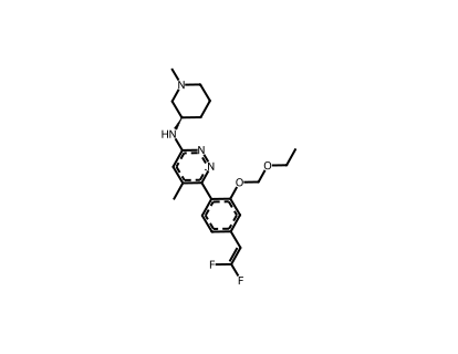 CCOCOc1cc(C=C(F)F)ccc1-c1nnc(N[C@@H]2CCCN(C)C2)cc1C